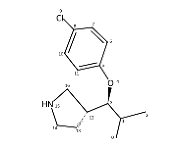 CC(C)[C@H](Oc1ccc(Cl)cc1)[C@@H]1CCNC1